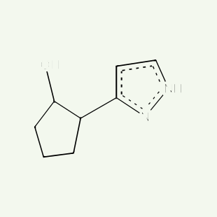 OC1CCCC1c1[c]c[nH]n1